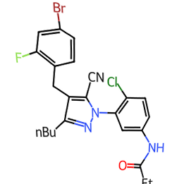 CCCCc1nn(-c2cc(NC(=O)CC)ccc2Cl)c(C#N)c1Cc1ccc(Br)cc1F